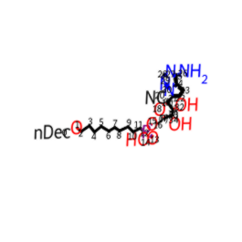 CCCCCCCCCCOCCCCCCCCCCP(=O)(O)OC[C@H]1O[C@@](C#N)(c2ccc3c(N)ncnn23)C(O)[C@H]1O